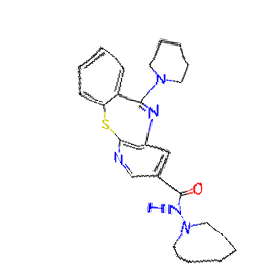 O=C(NN1CCCCCC1)c1cnc2c(c1)N=C(N1CCCCC1)c1ccccc1S2